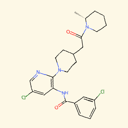 C[C@@H]1CCCCN1C(=O)CC1CCN(c2ncc(Cl)cc2NC(=O)c2cccc(Cl)c2)CC1